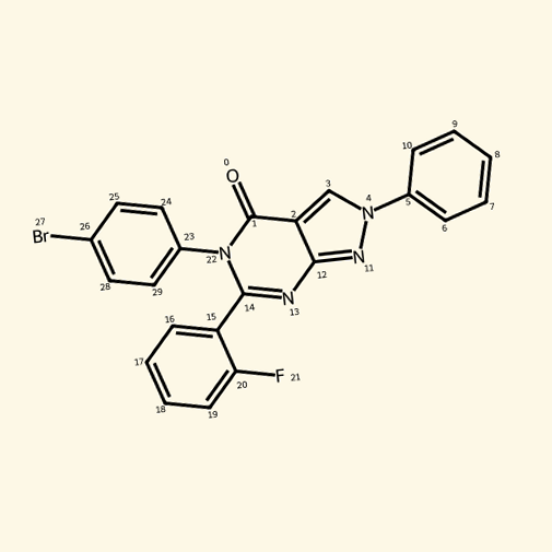 O=c1c2cn(-c3ccccc3)nc2nc(-c2ccccc2F)n1-c1ccc(Br)cc1